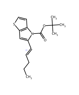 CCC/C=C/c1cc2sccc2n1C(=O)OC(C)(C)C